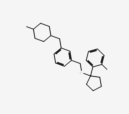 CC1CCC(Cc2cccc(CNC3(c4ccccc4F)CCCC3)c2)CC1.Cl